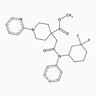 COC(=O)C1(CC(=O)N(c2ccccc2)C2CCCC(F)(F)C2)CCN(c2ccccn2)CC1